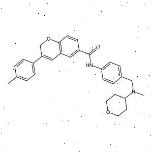 Cc1ccc(C2=Cc3cc(C(=O)Nc4ccc(CN(C)C5CCOCC5)cc4)ccc3OC2)cc1